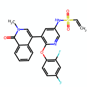 C=CS(=O)(=O)Nc1cnc(Oc2ccc(F)cc2F)c(-c2cn(C)c(=O)c3ccccc23)c1